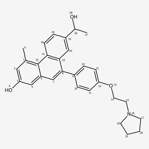 Cc1cc(O)cc2cc(-c3ccc(OCCN4CCCC4)cc3)c3cc(C(C)O)ccc3c12